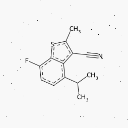 Cc1sc2c(F)ccc(C(C)C)c2c1C#N